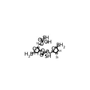 B[C@H]1C[C@H](OP(=O)(S)OC[C@H]2O[C@@H](B)C[C@@H]2C)[C@@H](COP(=O)(O)S)O1